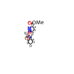 COC(=O)c1ccc(CN(c2ccccc2)S(C)(=O)=O)nn1